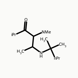 CCCC(C)(C)NC(C)C(NC)C(=O)C(C)C